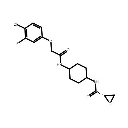 O=C(COc1ccc(Cl)c(F)c1)NC1CCC(NC(=O)[C@@H]2CO2)CC1